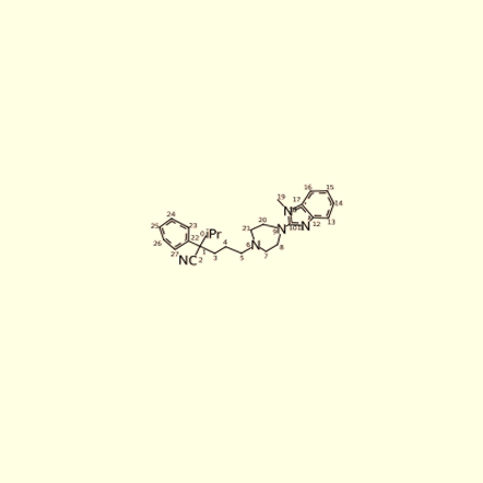 CC(C)C(C#N)(CCCN1CCN(c2nc3ccccc3n2C)CC1)c1ccccc1